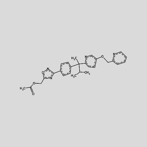 CC(=O)OCc1nc(-c2ccc(C(C)(c3ccc(OCc4ccccn4)cn3)C(C)C)cc2)no1